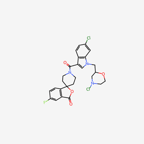 O=C1OC2(CCN(C(=O)c3cn(CC4CN(Cl)CCO4)c4cc(Cl)ccc34)CC2)c2ccc(F)cc21